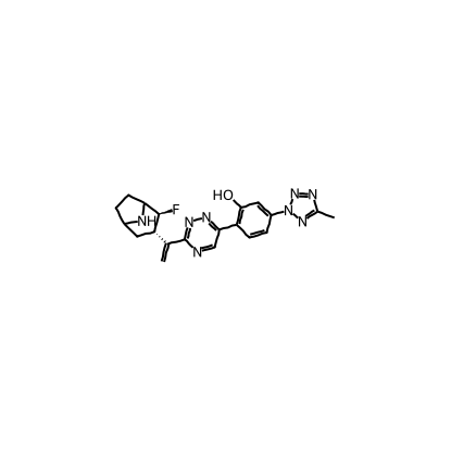 C=C(c1ncc(-c2ccc(-n3nnc(C)n3)cc2O)nn1)[C@@H]1CC2CCC(N2)[C@H]1F